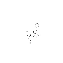 COc1cccc(-c2ccc3c(c2)NC(=O)C3=Cc2c(C)c(C(=O)O)c(C)n2C(C(N)=O)N(C)C)c1